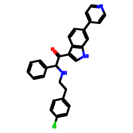 O=C(c1c[nH]c2cc(-c3ccncc3)ccc12)C(NCCc1ccc(Cl)cc1)c1ccccc1